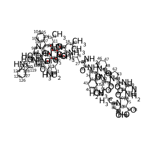 CCCC[C@@H](C(=O)N(C)[C@@H](CCCC)C(=O)N[C@@H](CC(C)C)C(=O)NCCC[C@H](N)C(=O)N[C@@H](Cc1ccc(C)cc1)C(=O)N1CCCC[C@H]1C(=O)N[C@@H](CC(N)=O)C(=O)N1CCC[C@H]1C(=O)N[C@@H](CN)C(=O)N[C@@H](CCC(=O)O)C(=O)N1C[C@H](O)C[C@H]1C)N(C)C(=O)[C@H](Cc1cn(CC(=O)O)c2ccccc12)NC(=O)[C@H](CCN)NC(=O)[C@H](Cc1c[nH]c2ccccc12)NO